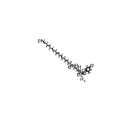 CCC=CCC=CCC=CCC=CCC=CCC=CCCC(=O)NCCCNC(=O)C(C)(C)Oc1ccc(Cl)cc1